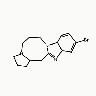 BrC1=CC2N=C3CC4CCCN4CCCN3C2C=C1